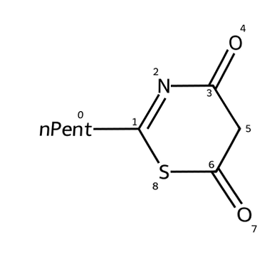 CCCCCC1=NC(=O)CC(=O)S1